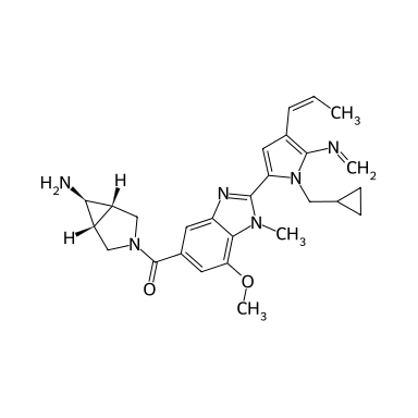 C=Nc1c(/C=C\C)cc(-c2nc3cc(C(=O)N4C[C@@H]5[C@@H](N)[C@@H]5C4)cc(OC)c3n2C)n1CC1CC1